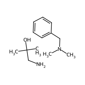 CC(C)(O)CN.CN(C)Cc1ccccc1